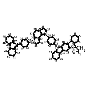 C[Si]1(C)c2ccccc2-c2cc3c(cc21)c1ccccc1n3-c1ccc(-n2ccc3ccc4c(ccn4-c4ccc(-n5c6ccccc6c6ccccc65)cc4)c32)cc1